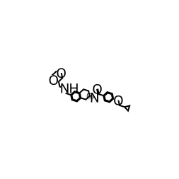 CN(C(=O)c1ccc(OCC2CC2)cc1)[C@H]1CCc2cc(CNCC3COCCO3)ccc2C1